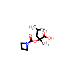 CC(C)CC(C)(OC(=O)N1CCC1)C(=O)O